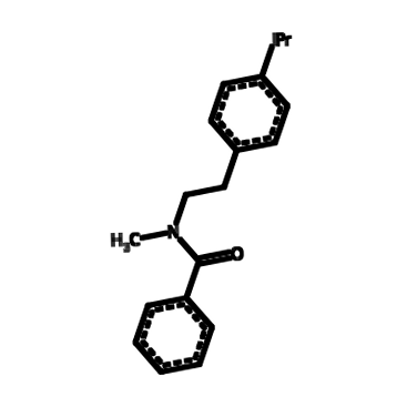 CC(C)c1ccc(CCN(C)C(=O)c2ccccc2)cc1